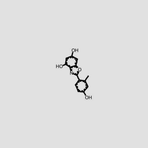 Cc1cc(O)ccc1-c1nc2c(O)cc(O)cc2o1